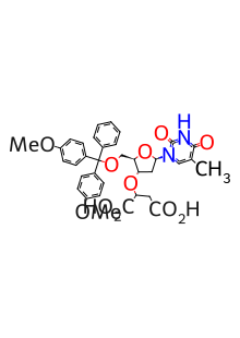 COc1ccc(C(OC[C@H]2O[C@@H](n3cc(C)c(=O)[nH]c3=O)C[C@@H]2OC(CC(=O)O)C(=O)O)(c2ccccc2)c2ccc(OC)cc2)cc1